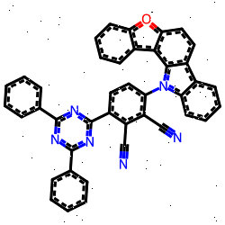 N#Cc1c(-c2nc(-c3ccccc3)nc(-c3ccccc3)n2)ccc(-n2c3ccccc3c3ccc4oc5ccccc5c4c32)c1C#N